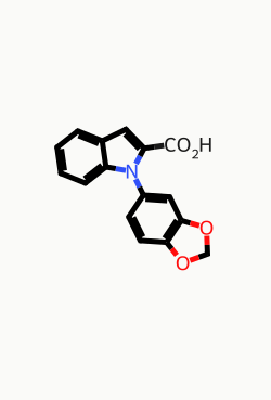 O=C(O)c1cc2ccccc2n1-c1ccc2c(c1)OCO2